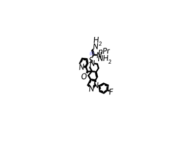 CCCN(N)/C(=C\N)SN1CCC2=Cc3c(cnn3-c3ccc(F)cc3)CC2(C(=O)c2ccccn2)C1